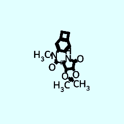 CN(C(=O)[C@H]1NC(=O)C2OC(C)(C)OC21)c1ccc2c(c1)CC2